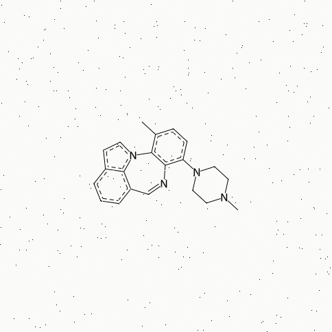 Cc1ccc(N2CCN(C)CC2)c2c1-n1ccc3cccc(c31)C=N2